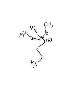 CO[Si](C)(CCCN)OC.Cl